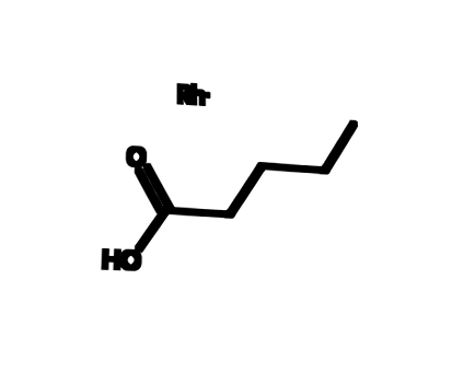 CCCCC(=O)O.[Rh]